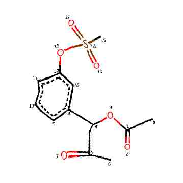 CC(=O)OC(C(C)=O)c1cccc(OS(C)(=O)=O)c1